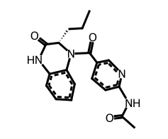 CCC[C@H]1C(=O)Nc2ccccc2N1C(=O)c1ccc(NC(C)=O)nc1